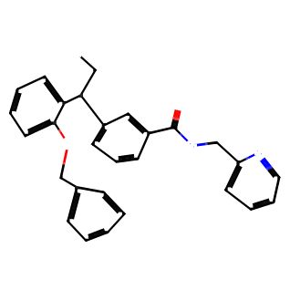 CCC(c1cccc(C(=O)NCc2ccccn2)c1)c1ccccc1OCc1ccccc1